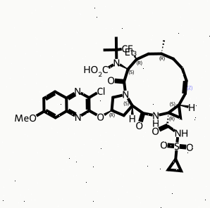 CC[C@@H]1C[C@H](C)CC/C=C\[C@@H]2C[C@@]2(C(=O)NS(=O)(=O)C2CC2)NC(=O)[C@@H]2C[C@@H](Oc3nc4cc(OC)ccc4nc3Cl)CN2C(=O)[C@H]1N(C(=O)O)C(C)(C)C(F)(F)F